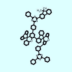 CC1(C)c2ccccc2-c2ccc(-c3nc(-c4ccccc4)nc(-c4ccc(-c5cc(-c6cccc7c6-c6ccccc6C76c7ccccc7Oc7ccc(-c8cccc(-c9nc(-c%10ccccc%10)nc(-c%10ccccc%10)n9)c8)cc76)c6c(c5)C5(c7ccccc7O6)c6ccccc6-c6ccccc65)cc4)n3)cc21